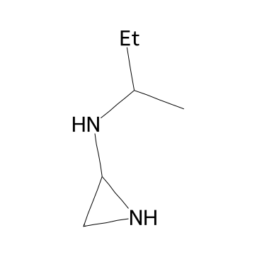 CCC(C)NC1CN1